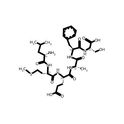 CSCC[C@H](NC(=O)[C@@H](N)CC(C)C)C(=O)N[C@@H](CCC(=O)O)C(=O)N[C@@H](C)C(=O)N[C@@H](Cc1ccccc1)C(=O)N[C@@H](CO)C(=O)O